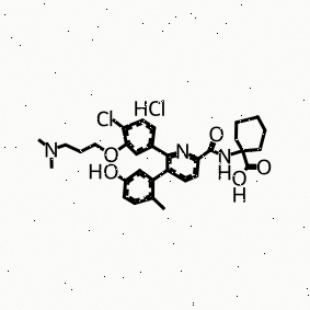 Cc1ccc(O)cc1-c1ccc(C(=O)NC2(C(=O)O)CCCCC2)nc1-c1ccc(Cl)c(OCCCN(C)C)c1.Cl